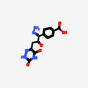 NN=C(C(=O)Cc1n[nH]c(=O)[nH]c1=O)c1ccc(C(=O)O)cc1